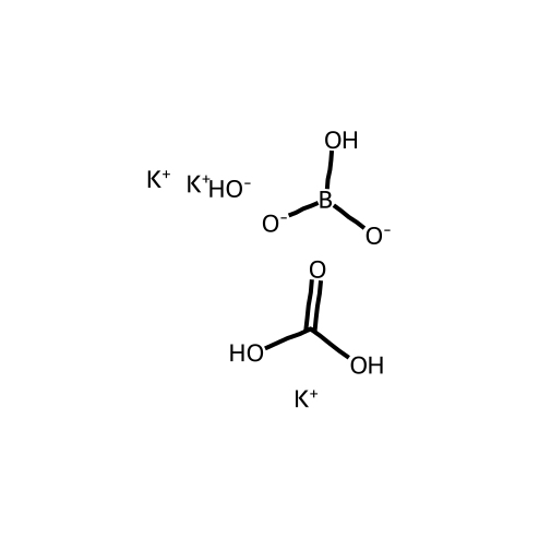 O=C(O)O.[K+].[K+].[K+].[O-]B([O-])O.[OH-]